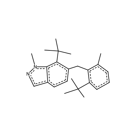 Cc1cccc(C(C)(C)C)c1Cc1ccc2cnn(C)c2c1C(C)(C)C